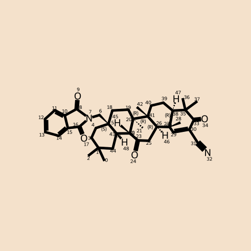 CC1(C)CC[C@]2(CN3C(=O)c4ccccc4C3=O)CC[C@]3(C)[C@H](C(=O)C[C@@H]4[C@@]5(C)C=C(C#N)C(=O)C(C)(C)[C@@H]5CC[C@]43C)[C@@H]2C1